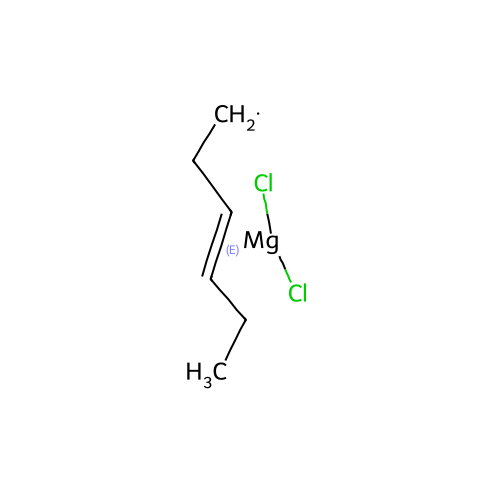 [CH2]C/C=C/CC.[Cl][Mg][Cl]